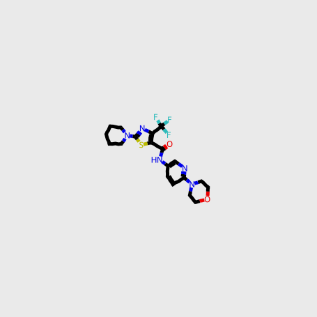 O=C(Nc1ccc(N2CCOCC2)nc1)c1sc(N2CCCCC2)nc1C(F)(F)F